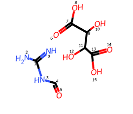 N=C(N)NC=O.O=C(O)C(O)C(O)C(=O)O